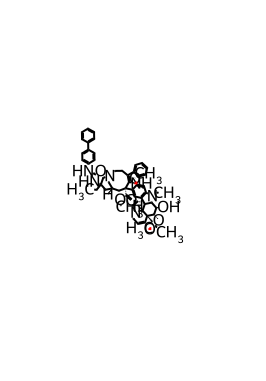 CCC1(NC(=O)Nc2ccc(-c3ccccc3)cc2)C[C@@H]2CN(CCc3c([nH]c4ccccc34)[C@@](C(=O)OC)(c3cc4c(cc3OC)N(C)C3[C@H](O)[C@H](OC(C)=O)[C@]5(CC)C=CCN6CC[C@]43[C@@H]65)C2)C1